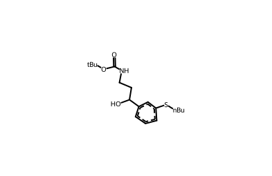 CCCCSc1cccc(C(O)CCNC(=O)OC(C)(C)C)c1